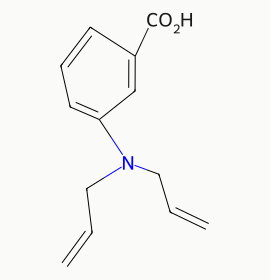 C=CCN(CC=C)c1cccc(C(=O)O)c1